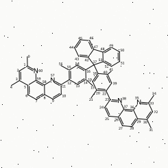 Cc1cc(C)c2ccc3ccc(-c4cc(C)c(C5(c6cc(C)c(-c7ccc8ccc9c(C)cc(C)nc9c8n7)cc6C)c6ccccc6-c6ccccc65)cc4C)nc3c2n1